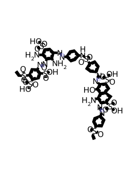 C=CS(=O)(=O)c1ccc(/N=N/c2c(S(=O)(=O)O)cc3cc(S(=O)(=O)O)c(/N=N/c4ccc(S(=O)(=O)Nc5ccc(/N=N/c6cc(S(=O)(=O)O)c(N)c(/N=N/c7cc(S(=O)(=O)C=C)c(S(=O)(=O)O)cc7S(=O)(=O)O)c6N)cc5)cc4)c(O)c3c2N)cc1